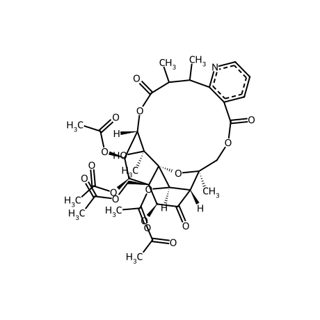 CC(=O)OC[C@]12[C@H](OC(C)=O)C(=O)[C@@H]3[C@@H](OC(C)=O)[C@@]14O[C@@]3(C)COC(=O)c1cccnc1C(C)C(C)C(=O)O[C@@H]([C@H](OC(C)=O)[C@@H]2OC(C)=O)[C@]4(C)O